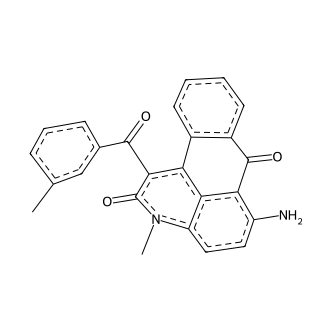 Cc1cccc(C(=O)c2c3c4c(c(N)ccc4n(C)c2=O)C(=O)c2ccccc2-3)c1